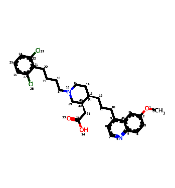 COc1ccc2nccc(CCC[C@@H]3CCN(CCCCc4c(Cl)cccc4Cl)C[C@@H]3CC(=O)O)c2c1